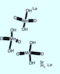 [La].[La].[O]=[Mn](=[O])([OH])[OH].[O]=[Mn](=[O])([OH])[OH].[O]=[Mn](=[O])([OH])[OH].[SrH2]